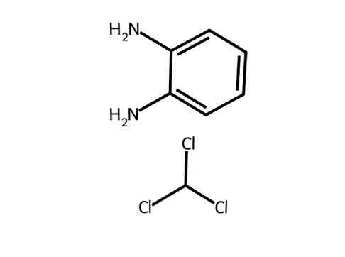 ClC(Cl)Cl.Nc1ccccc1N